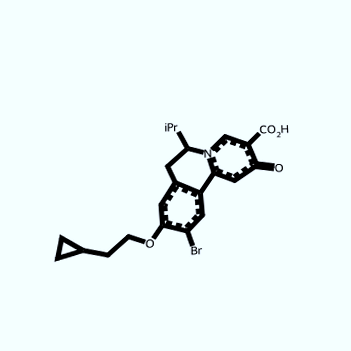 CC(C)C1Cc2cc(OCCC3CC3)c(Br)cc2-c2cc(=O)c(C(=O)O)cn21